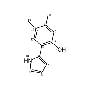 Cc1cc(O)c(-c2ccc[nH]2)cc1C